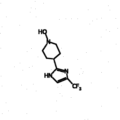 ON1CCC(c2nc(C(F)(F)F)c[nH]2)CC1